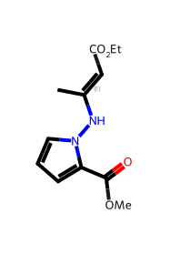 CCOC(=O)/C=C(\C)Nn1cccc1C(=O)OC